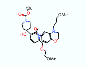 COCCCN1CCOc2ccc(CO[C@H]3CN(C(=O)OC(C)(C)C)CC[C@]3(O)c3ccc(COCCOC)nc3C)cc21